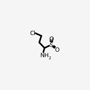 NC(CCCl)[SH](=O)=O